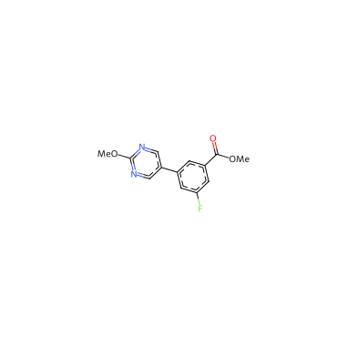 COC(=O)c1cc(F)cc(-c2cnc(OC)nc2)c1